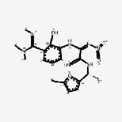 CC[C@@H](NC(=N)/C(=N\[SH](=O)=O)Nc1cccc(/C(=N/C)N(C)C)c1O)c1ccc(C)o1